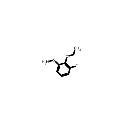 CCOc1c(F)cccc1SN